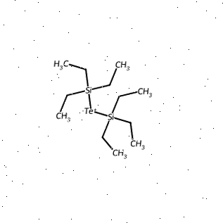 CC[Si](CC)(CC)[Te+][Si](CC)(CC)CC